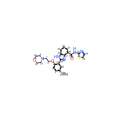 CC(C)(C)c1ccc(OCCN2CCOCC2)c(-c2nc3c(C(=O)Nc4nccs4)cccc3[nH]2)c1